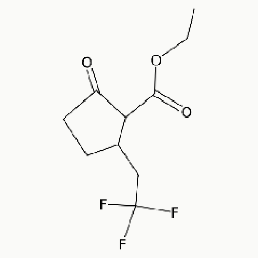 CCOC(=O)C1C(=O)CCC1CC(F)(F)F